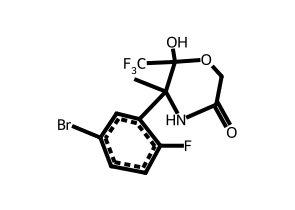 CC1(c2cc(Br)ccc2F)NC(=O)COC1(O)C(F)(F)F